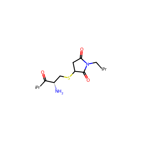 CC(C)CN1C(=O)CC(SC[C@H](N)C(=O)C(C)C)C1=O